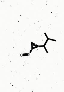 CC(C)C(C)C1=CC1N=O